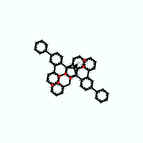 O=C1OC2C3c4ccccc4C(c4c3c(-c3ccc(-c5ccccc5)cc3-c3ccccc3)c3ccccc3c4-c3ccc(-c4ccccc4)cc3-c3ccccc3)C2O1